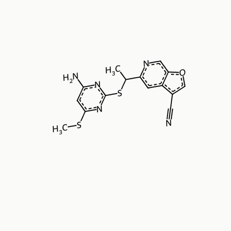 CSc1cc(N)nc(SC(C)c2cc3c(C#N)coc3cn2)n1